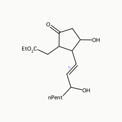 CCCCCC(O)/C=C/C1C(O)CC(=O)C1CC(=O)OCC